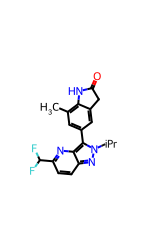 Cc1cc(-c2c3nc(C(F)F)ccc3nn2C(C)C)cc2c1NC(=O)C2